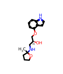 CC1(NC[C@H](O)COc2cccc3[nH]ccc23)CCCO1